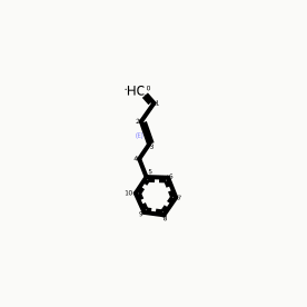 [CH]=C/C=C/Cc1ccccc1